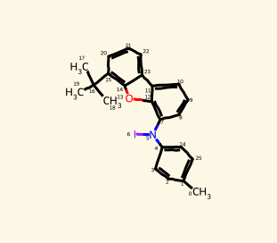 Cc1ccc(N(I)c2cccc3c2oc2c(C(C)(C)C)cccc23)cc1